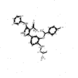 CCC(Oc1cc(-c2n[nH]c(Nc3cnccn3)c2C(N)=O)ccc1NS[C@H](C)C(F)(F)F)c1ccc(F)cc1